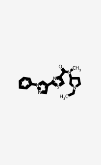 CCN1CCC(N(C)C(=O)c2csc(-c3cnn(-c4ccccc4)c3)n2)C1